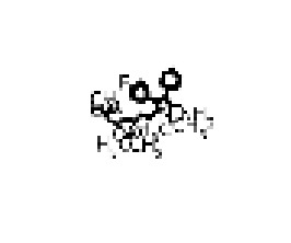 COC(=O)CC1CC(CCc2c(-c3ccc(F)cc3)c(-c3ccccc3)c(CN)n2C(C)C)OC(C)(C)O1